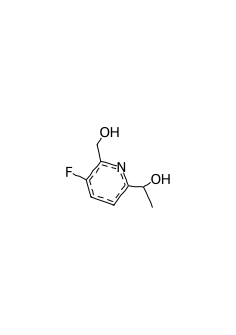 CC(O)c1ccc(F)c(CO)n1